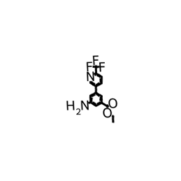 CCOC(=O)c1cc(N)cc(-c2ccc(C(F)(F)F)nc2)c1